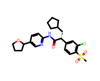 CS(=O)(=O)c1ccc([C@@H](CC2CCCC2)C(=O)Nc2ccc(C3CCCO3)cn2)cc1Cl